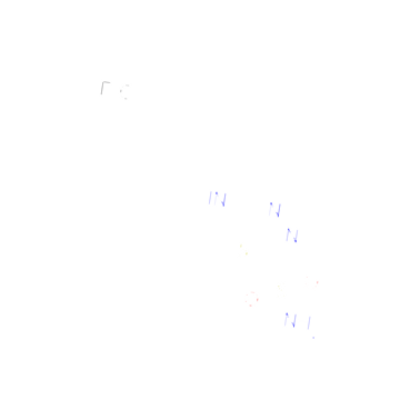 NS(=O)(=O)c1nnc(NCc2ccc(C(F)(F)F)cc2)s1